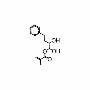 C=C(C)C(=O)OC(O)C(O)CCc1ccccc1